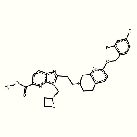 COC(=O)c1ccc2nc(CCN3CCc4ccc(OCc5ccc(Cl)cc5F)nc4C3)n(C[C@@H]3CCO3)c2n1